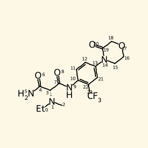 CCN(C)[C@H](C(N)=O)C(=O)Nc1ccc(N2CCOCC2=O)cc1C(F)(F)F